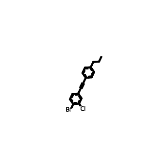 CCCc1ccc(C#Cc2ccc(Br)c(Cl)c2)cc1